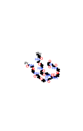 CC(CNC(=O)C(C)C)OCC(C)(C)CNC(=O)CC(C)(C)COCC(C)(C)CNC(=O)CC[C@H](NC(=O)CC(C)(C)COCC(C)(C)CNC(=O)CCN1C(=O)C=CC1=O)C(=O)NCC(C)(C)COCC(C)(C)CC(=O)NCC(C)(C)COC(C)CNC(=O)C(C)(C)CCC(C)(C)C